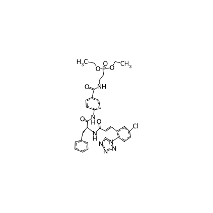 CCOP(=O)(CCNC(=O)c1ccc(NC(=O)[C@H](Cc2ccccc2)NC(=O)C=Cc2cc(Cl)ccc2-n2cnnn2)cc1)OCC